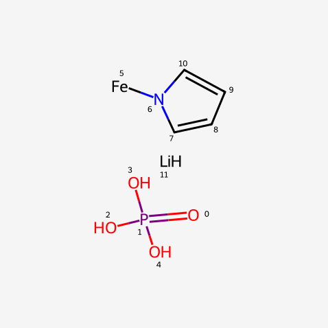 O=P(O)(O)O.[Fe][n]1cccc1.[LiH]